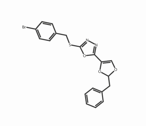 Brc1ccc(CSc2nnc(C3=COC(Cc4ccccc4)O3)o2)cc1